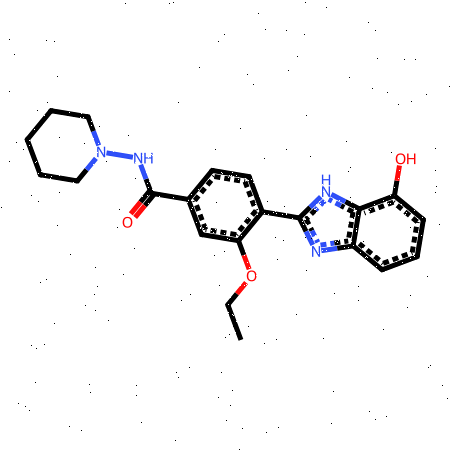 CCOc1cc(C(=O)NN2CCCCC2)ccc1-c1nc2cccc(O)c2[nH]1